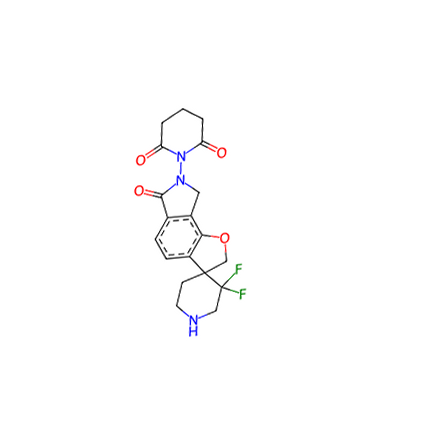 O=C1c2ccc3c(c2CN1N1C(=O)CCCC1=O)OCC31CCNCC1(F)F